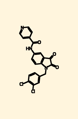 O=C(Nc1ccc2c(c1)C(=O)C(=O)N2Cc1ccc(Cl)c(Cl)c1)c1ccncc1